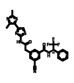 Cc1nc(C)c(-c2csc(NC(=O)Cc3cc(C#N)cc(C(=O)N[C@H](c4ccccc4)C(F)(F)F)c3)n2)s1